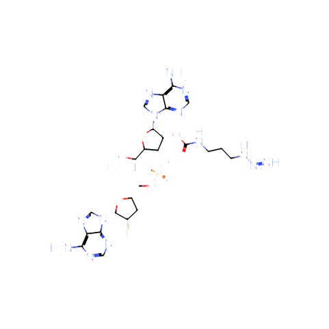 CP(=O)(OC[C@@H]1C[C@@H](F)[C@H](n2cnc3c(N)ncnc32)O1)O[C@@H]1C(COS)O[C@@H](n2cnc3c(N)ncnc32)[C@@H]1OC(=O)NCCCNN=N